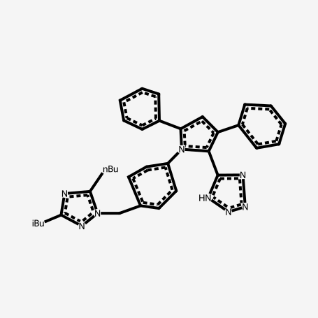 CCCCc1nc(C(C)CC)nn1Cc1ccc(-n2c(-c3ccccc3)cc(-c3ccccc3)c2-c2nnn[nH]2)cc1